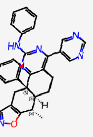 C[C@@H]1c2oncc2C[C@]2(c3ccccc3)c3nc(Nc4ccccc4)nc(-c4cncnc4)c3CC[C@@H]12